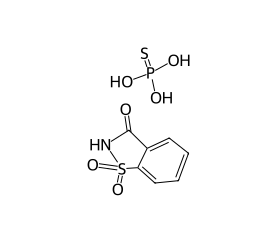 O=C1NS(=O)(=O)c2ccccc21.OP(O)(O)=S